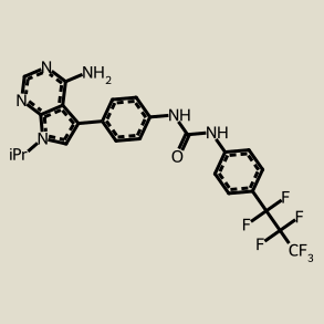 CC(C)n1cc(-c2ccc(NC(=O)Nc3ccc(C(F)(F)C(F)(F)C(F)(F)F)cc3)cc2)c2c(N)ncnc21